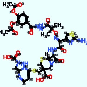 CC(=O)Oc1ccc(C(=O)NNC(=O)C(C)(C)ON=C(C(=O)NC2C(=O)N3CC(CSC4=CC=NC5=CN(C(=O)O)NN54)(C(=O)O)CS[C@H]23)c2csc(N)n2)cc1OC(C)=O